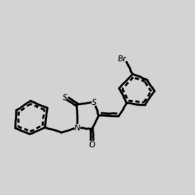 O=C1C(=Cc2cccc(Br)c2)SC(=S)N1Cc1ccccc1